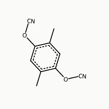 Cc1cc(OC#N)c(C)cc1OC#N